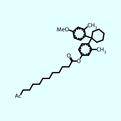 COc1ccc(C2(c3ccc(OC(=O)CCCCCCCCCCC(C)=O)cc3C)CCCCC2)c(C)c1